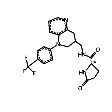 O=C1CC[C@@H](C(=O)NCC2Cc3ncccc3N(c3ccc(C(F)(F)F)cc3)C2)N1